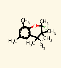 Cc1cc(C)c2c(c1)C(C)(C)C(C)(C)C(C)(Cl)O2